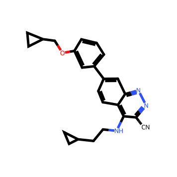 N#Cc1nnc2cc(-c3cccc(OCC4CC4)c3)ccc2c1NCCC1CC1